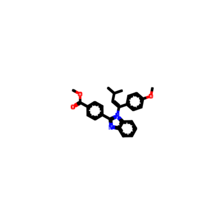 COC(=O)c1ccc(-c2nc3ccccc3n2C(=CC(C)C)c2ccc(OC)cc2)cc1